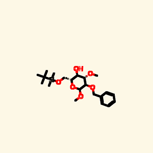 CO[C@H]1O[C@H](CO[Si](C)(C)C(C)(C)C)[C@@H](O)[C@H](OC)[C@H]1OCc1ccccc1